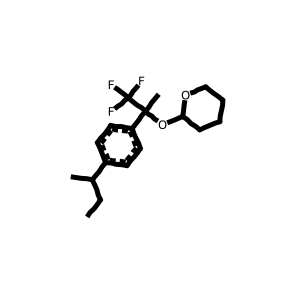 CCC(C)c1ccc(C(C)(OC2CCCCO2)C(F)(F)F)cc1